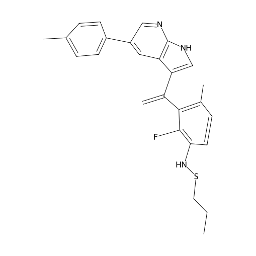 C=C(c1c(C)ccc(NSCCC)c1F)c1c[nH]c2ncc(-c3ccc(C)cc3)cc12